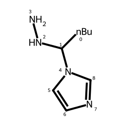 CCCCC(NN)n1ccnc1